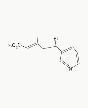 CCC(C/C(C)=C/C(=O)O)c1cccnc1